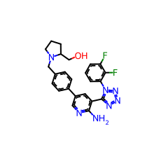 Nc1ncc(-c2ccc(CN3CCCC3CO)cc2)cc1-c1nnnn1-c1cccc(F)c1F